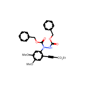 CCOC(=O)C#Cc1cc(OC)c(OC)cc1N(NC(=O)OCc1ccccc1)C(=O)OCc1ccccc1